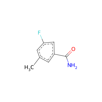 Cc1cc(F)cc(C(N)=O)c1